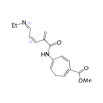 C=C(/C=C\C=N/CC)C(=O)NC1=CCC=C(C(=O)OC)C=C1